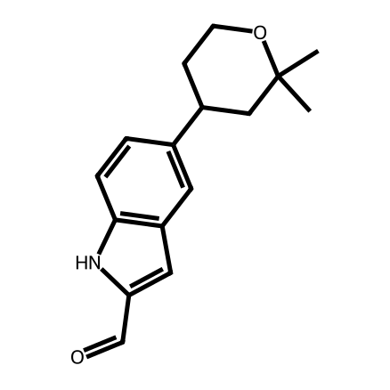 CC1(C)CC(c2ccc3[nH]c(C=O)cc3c2)CCO1